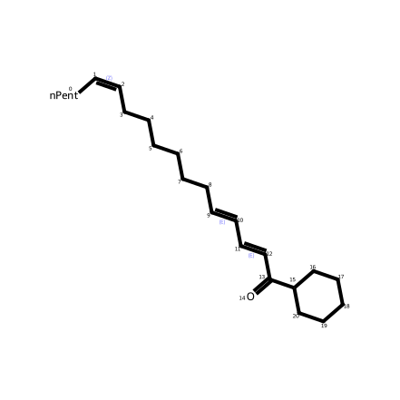 CCCCC/C=C\CCCCCC/C=C/C=C/C(=O)C1CCCCC1